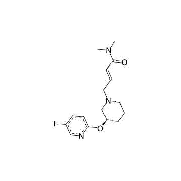 CN(C)C(=O)/C=C/CN1CCC[C@@H](Oc2ccc(I)cn2)C1